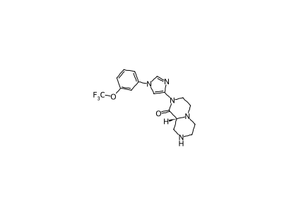 O=C1[C@H]2CNCCN2CCN1c1cn(-c2cccc(OC(F)(F)F)c2)cn1